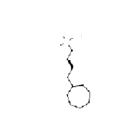 C[Si](C)(C)CC=CC[C]1CCCCCC1